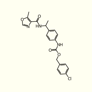 Cc1ocnc1C(=O)NC(C)c1ccc(NC(=O)OCc2ccc(Cl)cc2)cc1